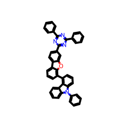 c1ccc(-c2nc(-c3ccccc3)nc(-c3ccc4c(c3)oc3c(-c5cccc6c5c5ccccc5n6-c5ccccc5)cccc34)n2)cc1